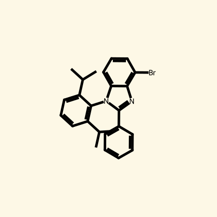 CC(C)c1cccc(C(C)C)c1-n1c(-c2ccccc2)nc2c(Br)cccc21